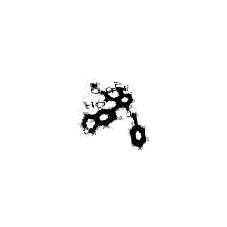 COC(=O)C(O)c1c(C(F)(F)F)ccc(OCc2ccccc2)c1-c1ccc2c(c1)CCOC2